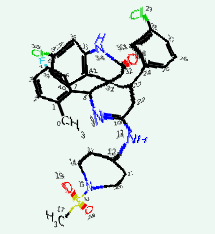 Cc1ccc(F)cc1C1N=C(NC2CCN(S(C)(=O)=O)CC2)CC(c2cccc(Cl)c2)[C@@]12C(=O)Nc1cc(Cl)ccc12